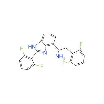 NC(Cc1c(F)cccc1F)c1cccc2[nH]c(-c3c(F)cccc3F)nc12